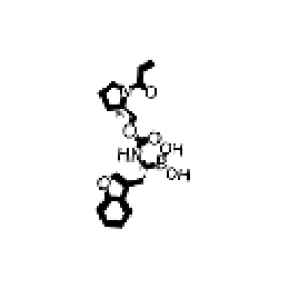 C=CC(=O)N1CCC[C@@H]1COC(=O)N[C@@H](Cc1coc2ccccc12)B(O)O